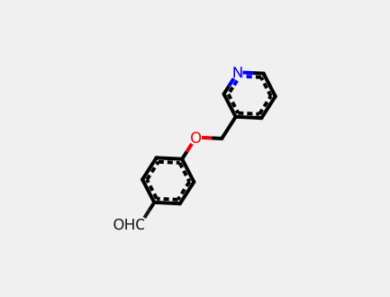 O=Cc1ccc(OCc2cccnc2)cc1